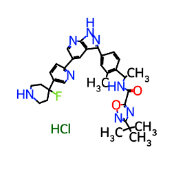 Cc1cc(-c2n[nH]c3ncc(-c4ccc(C5(F)CCNCC5)cn4)cc23)ccc1C(C)NC(=O)c1nc(C(C)(C)C)no1.Cl